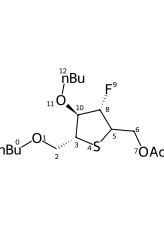 CCCCOC[C@H]1SC(COC(C)=O)[C@@H](F)[C@@H]1OCCCC